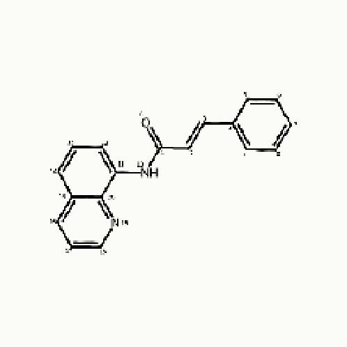 O=C(/C=C/c1ccccc1)Nc1cccc2cccnc12